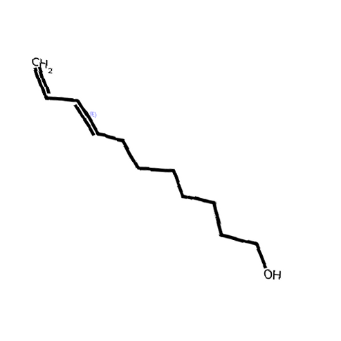 C=C/C=C/CCCCCCCO